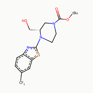 CC(C)(C)OC(=O)N1CCN(c2nc3ccc(C(F)(F)F)cc3s2)[C@H](CO)C1